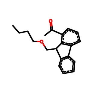 CCCCOCC1c2ccccc2-c2cccc(C(C)=O)c21